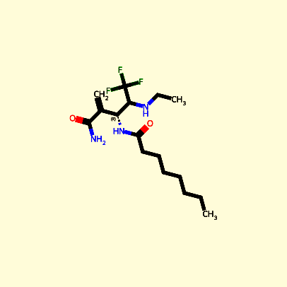 C=C(C(N)=O)[C@@H](NC(=O)CCCCCCC)C(NCC)C(F)(F)F